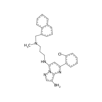 Bc1cnn2c(NCCCN(C)Cc3cccc4ccccc34)cc(-c3ccccc3Cl)nc12